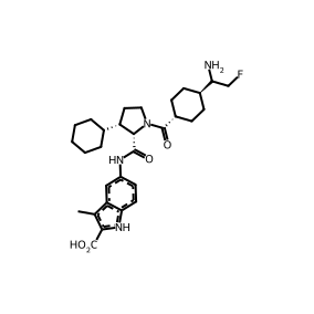 Cc1c(C(=O)O)[nH]c2ccc(NC(=O)[C@@H]3[C@H](C4CCCCC4)CCN3C(=O)[C@H]3CC[C@H](C(N)CF)CC3)cc12